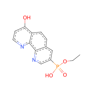 CCOP(=O)(O)c1cnc2c(ccc3c(O)ccnc32)c1